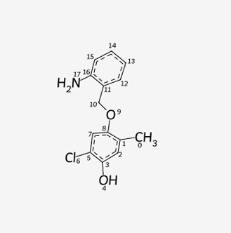 Cc1cc(O)c(Cl)cc1OCc1ccccc1N